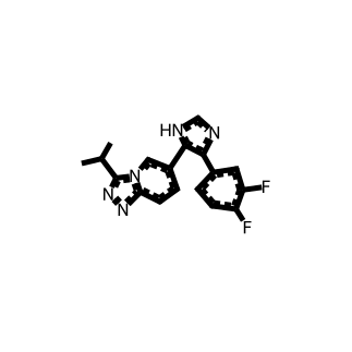 CC(C)c1nnc2ccc(-c3[nH]cnc3-c3ccc(F)c(F)c3)cn12